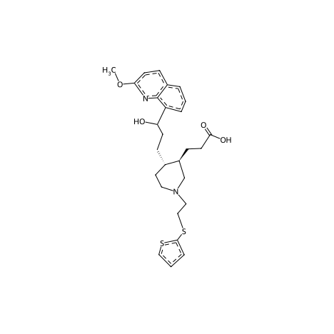 COc1ccc2cccc(C(O)CC[C@H]3CCN(CCSc4cccs4)C[C@@H]3CCC(=O)O)c2n1